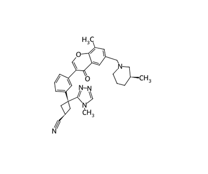 Cc1cc(CN2CCC[C@H](C)C2)cc2c(=O)c(-c3cccc([C@]4(c5nncn5C)C[C@H](C#N)C4)c3)coc12